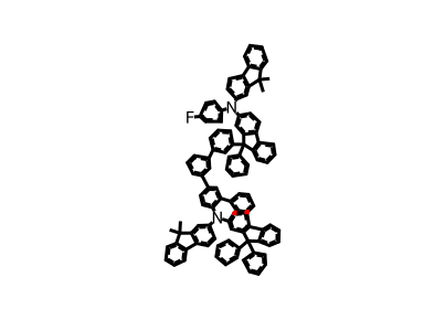 CC1(C)c2ccccc2-c2ccc(N(c3ccc(F)cc3)c3ccc4c(c3)C(c3ccccc3)(c3cccc(-c5cccc(-c6ccc(N(c7ccc8c(c7)C(C)(C)c7ccccc7-8)c7ccc8c(c7)C(c7ccccc7)(c7ccccc7)c7ccccc7-8)c(-c7ccccc7)c6)c5)c3)c3ccccc3-4)cc21